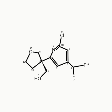 OC[C@@]1(c2cc(C(F)F)cc(Cl)n2)CCOC1